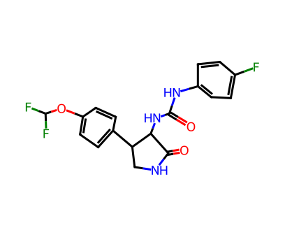 O=C(Nc1ccc(F)cc1)NC1C(=O)NCC1c1ccc(OC(F)F)cc1